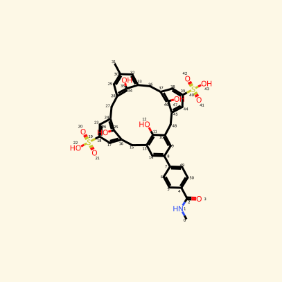 CNC(=O)c1ccc(-c2cc3c(O)c(c2)Cc2cc(S(=O)(=O)O)cc(c2O)Cc2cc(C)cc(c2O)Cc2cc(S(=O)(=O)O)cc(c2O)C3)cc1